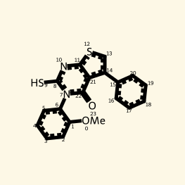 COc1ccccc1-n1c(S)nc2scc(-c3ccccc3)c2c1=O